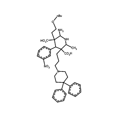 CCCCOCCC1(C(=O)O)C(N)NC(C)C(CCCN2CCC(c3ccccc3)(c3ccccc3)CC2)(C(=O)O)C1c1cccc([N+](=O)[O-])c1